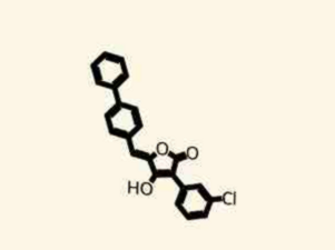 O=C1O/C(=C\c2ccc(-c3ccccc3)cc2)C(O)=C1c1cccc(Cl)c1